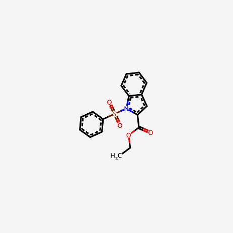 CCOC(=O)c1cc2ccccc2n1S(=O)(=O)c1ccccc1